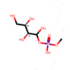 COP(=O)(O)OC(O)[C@@H](O)[C@H](O)CO